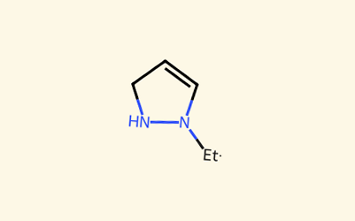 C[CH]N1C=CCN1